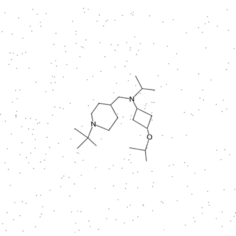 CC(C)OC1CC(N(CC2CCN(C(C)(C)C)CC2)C(C)C)C1